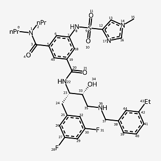 CCCN(CCC)C(=O)c1cc(NS(=O)(=O)c2cn(C)cn2)cc(C(=O)N[C@@H](Cc2cc(F)cc(F)c2)[C@H](O)CNCc2cccc(CC)c2)c1